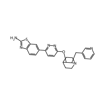 Nc1nc2ccc(-c3ccc(OC4C5CCN(CC5)C4Cc4cccnc4)nn3)cc2s1